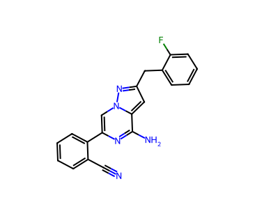 N#Cc1ccccc1-c1cn2nc(Cc3ccccc3F)cc2c(N)n1